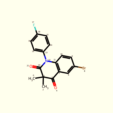 CC1(C)C(=O)c2cc(Br)ccc2N(c2ccc(F)cc2)C1=O